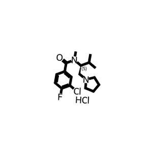 CC(C)[C@@H](CN1CCCC1)N(C)C(=O)c1ccc(F)c(Cl)c1.Cl